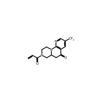 C=CC(=O)N1CCN2c3ncc(C(F)(F)F)cc3C(=O)CC2C1